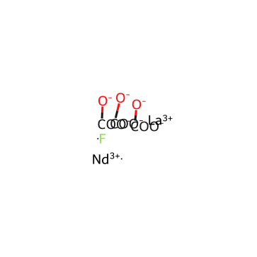 O=C([O-])[O-].O=C([O-])[O-].O=C([O-])[O-].[F].[La+3].[Nd+3]